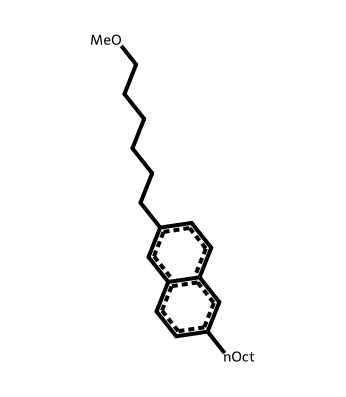 CCCCCCCCc1ccc2cc(CCCCCCOC)ccc2c1